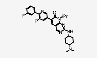 CC(C)n1c(=O)c(-c2cnc(-c3cc[c]c(F)c3)c(F)c2)cc2cnc(N[C@H]3CC[C@H](N(C)C)CC3)nc21